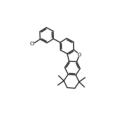 CC1(C)CCC(C)(C)c2cc3c(cc21)oc1ccc(-c2cccc(Cl)c2)cc13